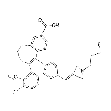 Cc1c(Cl)cccc1C1=C(c2ccc(C=C3CN(CCCF)C3)cc2)c2ccc(C(=O)O)cc2CCC1